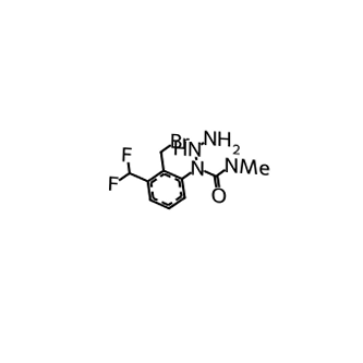 CNC(=O)N(NN)c1cccc(C(F)F)c1CBr